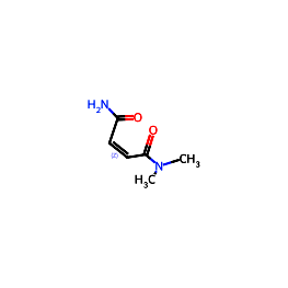 CN(C)C(=O)/C=C\C(N)=O